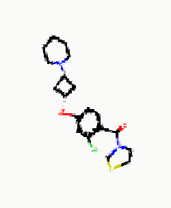 O=C(c1ccc(O[C@H]2C[C@H](N3CCCCC3)C2)cc1Cl)N1CCSC1